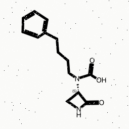 O=C1NC[C@@H]1N(CCCCc1ccccc1)C(=O)O